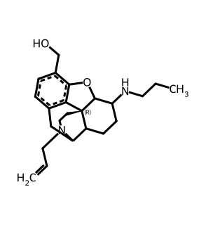 C=CCN1CC[C@@]23c4c5ccc(CO)c4OC2C(NCCC)CCC3C1C5